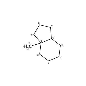 [CH2]C12CCCCC1CCC2